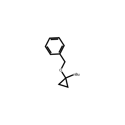 CCCCC1(OCc2ccccc2)CC1